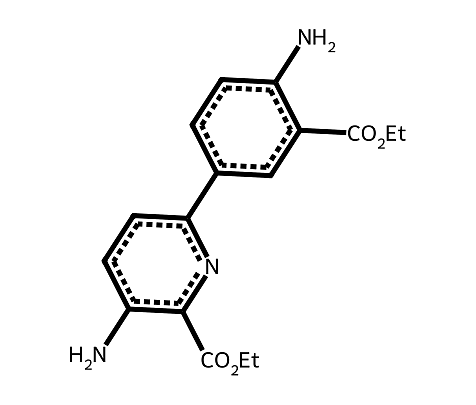 CCOC(=O)c1cc(-c2ccc(N)c(C(=O)OCC)n2)ccc1N